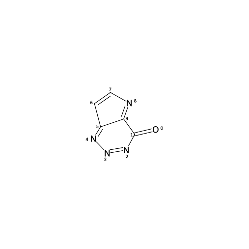 O=C1N=NN=C2C=CN=C12